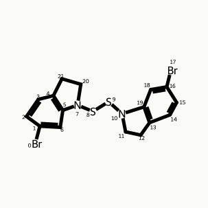 Brc1ccc2c(c1)N(SSN1CCc3ccc(Br)cc31)CC2